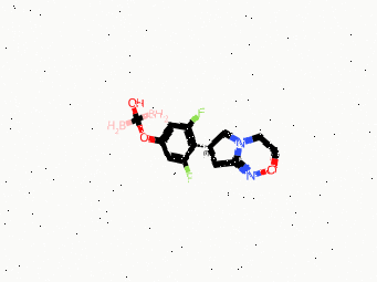 BC(B)(O)Oc1cc(F)c([C@H]2CC3=NOCCN3C2)c(F)c1